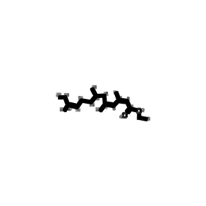 CCOC(=O)C=C(C)C=C(C)CC(C)CCC=C(C)CC